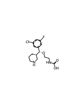 O=C(O)NCCO[C@@H](c1cc(F)cc(Cl)c1)[C@@H]1CCCNC1